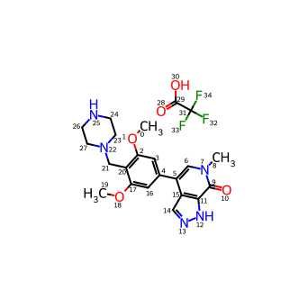 COc1cc(-c2cn(C)c(=O)c3[nH]ncc23)cc(OC)c1CN1CCNCC1.O=C(O)C(F)(F)F